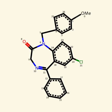 COc1ccc(CN2C(=O)CN=C(c3ccccc3)c3cc(Cl)ccc32)cc1